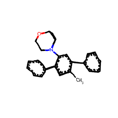 Cc1cc(-c2ccccc2)c(N2CCOCC2)cc1-c1ccccc1